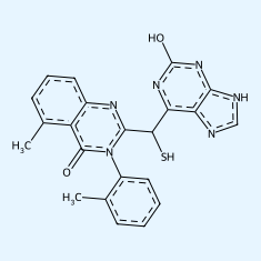 Cc1ccccc1-n1c(C(S)c2nc(O)nc3[nH]cnc23)nc2cccc(C)c2c1=O